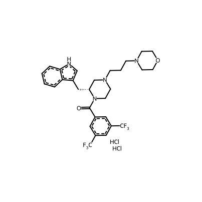 Cl.Cl.O=C(c1cc(C(F)(F)F)cc(C(F)(F)F)c1)N1CCN(CCCN2CCOCC2)C[C@H]1Cc1c[nH]c2ccccc12